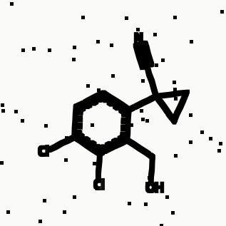 N#CC1(c2ccc(Cl)c(Cl)c2CO)CC1